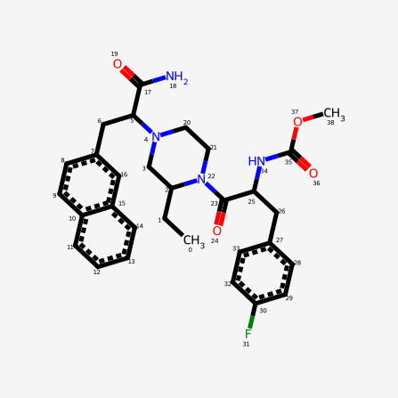 CCC1CN(C(Cc2ccc3ccccc3c2)C(N)=O)CCN1C(=O)C(Cc1ccc(F)cc1)NC(=O)OC